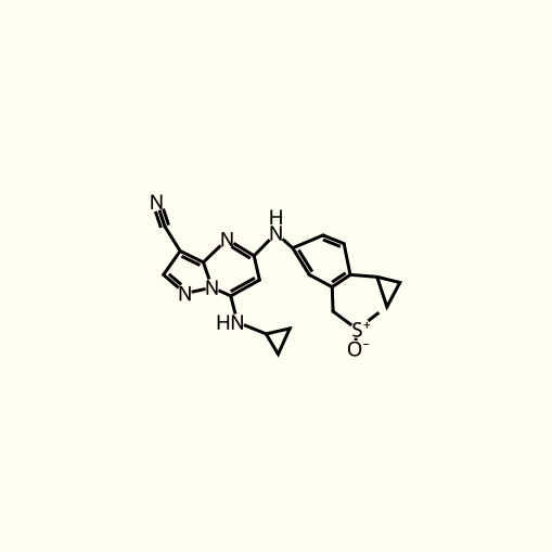 C[S+]([O-])Cc1cc(Nc2cc(NC3CC3)n3ncc(C#N)c3n2)ccc1C1CC1